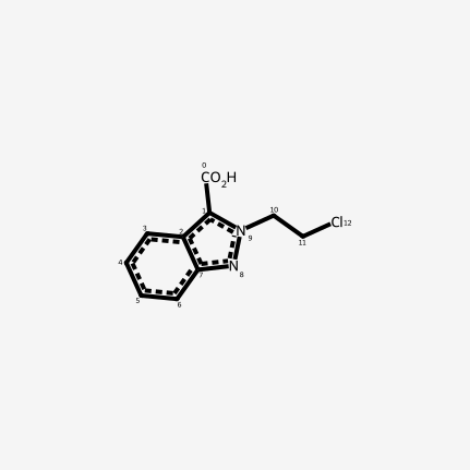 O=C(O)c1c2ccccc2nn1CCCl